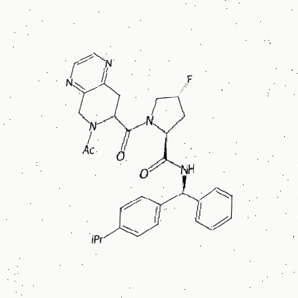 CC(=O)N1Cc2nccnc2CC1C(=O)N1C[C@H](F)C[C@H]1C(=O)N[C@@H](c1ccccc1)c1ccc(C(C)C)cc1